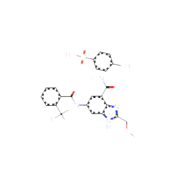 COCc1nc2c(C(N)=O)cc(NC(=O)c3ccccc3C(F)(F)F)cc2[nH]1.Cc1ccc(S(=O)(=O)O)cc1